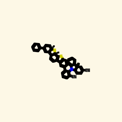 CC12C=C(C#N)C=CC1N(c1c(C#N)cccc1-c1ccc3sc4c(c3c1)C=CC1C3C=C(c5ccccc5)C=C[C@@]3(C)S[C@@]41C)c1ccccc12